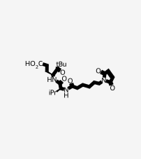 CC(C)[C@H](NC(=O)CCCCCN1C(=O)C=CC1=O)C(=O)N[C@@H](CCC(=O)O)C(=O)C(C)(C)C